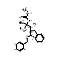 CC(C)[C@](Cc1ccccc1)(C(=O)OCc1ccccc1)[C@@H](O)C(N)(OC(=O)NN)C(C)(C)C